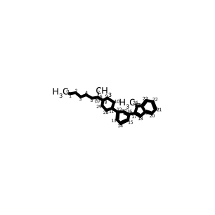 CCCCCC[C@H](C)C1CCC(c2cccc(C3=Cc4ccccc4[C@H]3C)c2)CC1